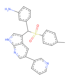 Cc1ccc(S(=O)(=O)C(c2cccc(N)c2)c2c[nH]c3ncc(-c4cccnc4)cc23)cc1